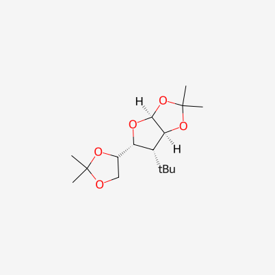 CC1(C)OCC([C@@H]2O[C@H]3OC(C)(C)O[C@H]3[C@@H]2C(C)(C)C)O1